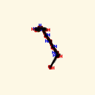 O=C(O)CCCCCCCCCCCCCCCCC(=O)N[C@H](CCC(=O)NCCOCCOCC(=O)NCCOCCOCC(=O)NCCOCCOCC(=O)NCCOCCOCCN[C@@H](Cc1ccc(O)cc1)C(=O)CN[C@H]1CSSC[C@@H](C(=O)O)NCC1=O)C(=O)O